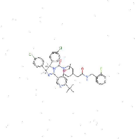 CCOc1cc(C(C)(C)C)ncc1C1=N[C@@](C)(c2ccc(Cl)cc2)[C@@](C)(c2ccc(Cl)cc2)N1C(=O)N1CCC(CC(=O)NCc2ccccc2F)CC1